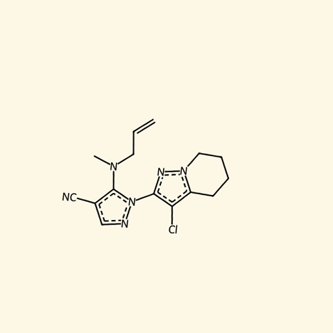 C=CCN(C)c1c(C#N)cnn1-c1nn2c(c1Cl)CCCC2